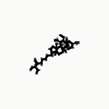 CC[C@H]1[C@@H](O)[C@@H]2[C@H](CC[C@]3(C)[C@@H](CCCCOC(=O)N(CC)CC)CC[C@@H]23)[C@@]2(C)CC[C@@H](O)C[C@@H]12